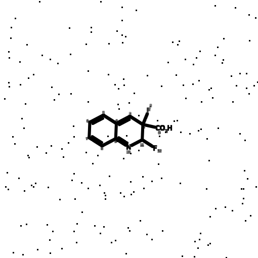 O=C(O)C1(F)C=c2ccccc2=NC1F